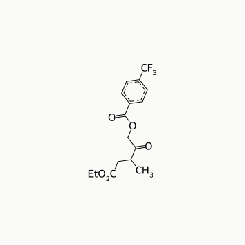 CCOC(=O)CC(C)C(=O)COC(=O)c1ccc(C(F)(F)F)cc1